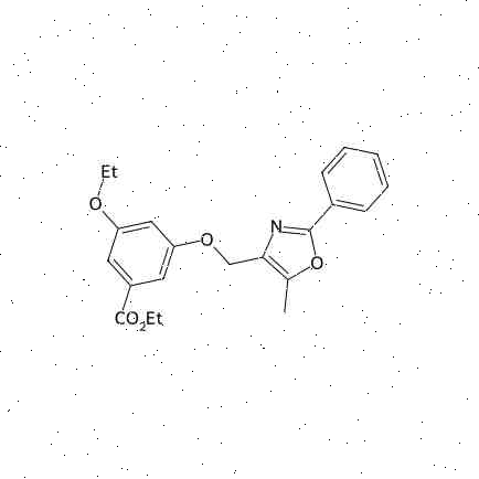 CCOC(=O)c1cc(OCC)cc(OCc2nc(-c3ccccc3)oc2C)c1